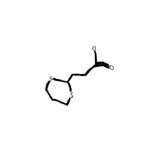 O=C(Cl)CCC1SCCCS1